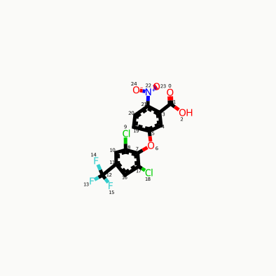 O=C(O)c1cc(Oc2c(Cl)cc(C(F)(F)F)cc2Cl)ccc1[N+](=O)[O-]